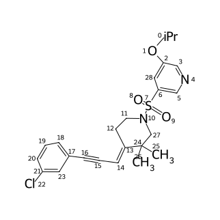 CC(C)Oc1cncc(S(=O)(=O)N2CC/C(=C\C#Cc3cccc(Cl)c3)C(C)(C)C2)c1